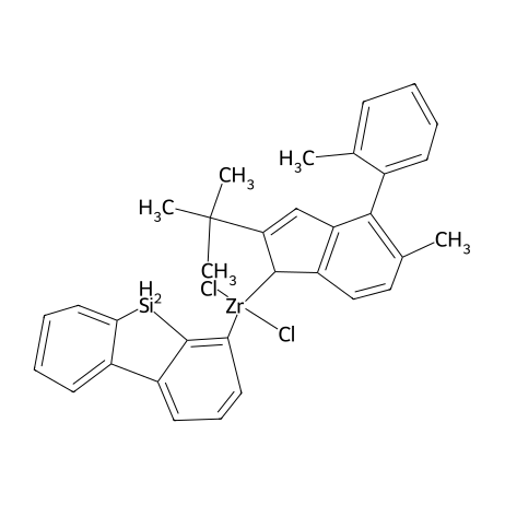 Cc1ccccc1-c1c(C)ccc2c1C=C(C(C)(C)C)[CH]2[Zr]([Cl])([Cl])[c]1cccc2c1[SiH2]c1ccccc1-2